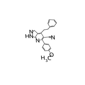 COc1ccc(-c2nc3[nH]ncc3c(CCc3ccccc3)c2C#N)cc1